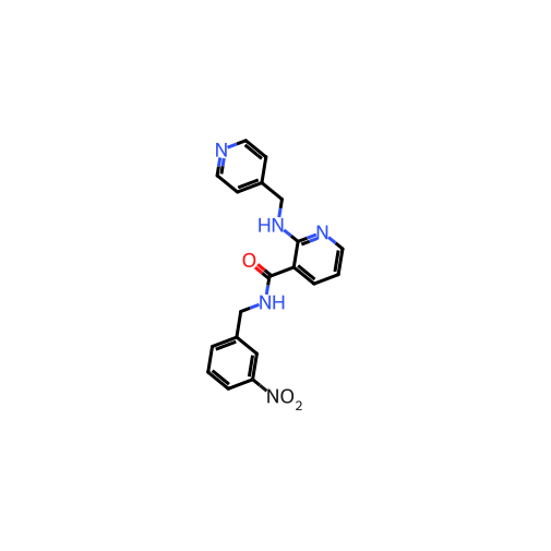 O=C(NCc1cccc([N+](=O)[O-])c1)c1cccnc1NCc1ccncc1